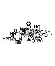 CC[C@H](C)[C@H](NC(=O)[C@@H](Cc1ccccc1)NC)C(=O)N[C@@H](CO)C(=O)N[C@H](CCC(N)=O)C(=O)N[C@@H](C(=O)N[C@H](C(=O)N[C@@H](CO)C(=O)N[C@H]1C(=O)N[C@@H](C)C(=O)N[C@@]2(C[C@H]2CCO)C(=O)N[C@@H]([C@@H](C)CC)C(=O)O[C@H]1C)[C@@H](C)CC)[C@@H](C)CC